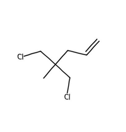 C=CCC(C)(CCl)CCl